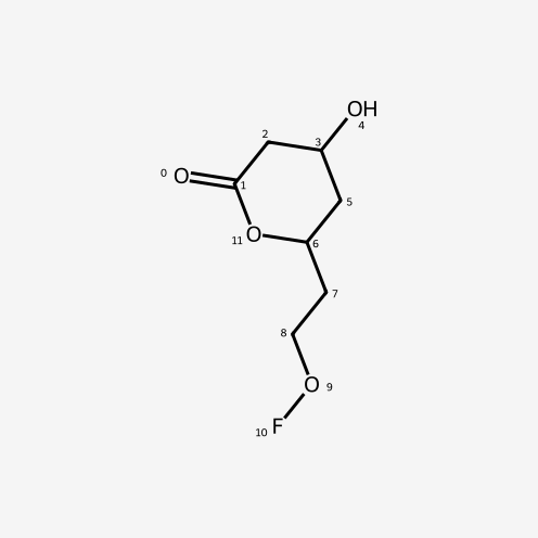 O=C1CC(O)CC(CCOF)O1